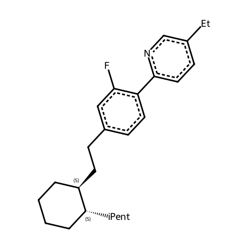 CCCC(C)[C@@H]1CCCC[C@H]1CCc1ccc(-c2ccc(CC)cn2)c(F)c1